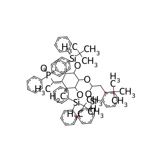 C=C1/C(=C(\C)P(=O)(c2ccccc2)c2ccccc2)CC(O[Si](c2ccccc2)(c2ccccc2)C(C)(C)C)C(OC(CCC(C)(C)C)O[SiH](c2ccccc2)c2ccccc2)C1O[Si](c1ccccc1)(c1ccccc1)C(C)(C)C